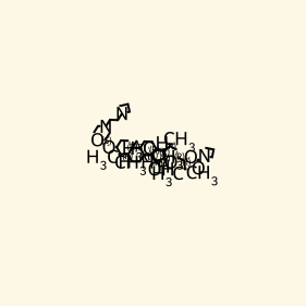 CC(C)[C@@H](OC(=O)N1CCC1)[C@H]1C[C@@H](C)[C@H]2[C@H](O1)[C@H](O)[C@@]1(C)[C@@H]3CC[C@H]4C(C)(C)C(O[C@H]5CN(CCN6CCC6)CCO5)CC[C@@]45C[C@@]35CC[C@]21C